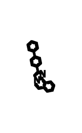 c1ccc(-c2ccc(-c3cn4ccc5ccccc5c4n3)cc2)cc1